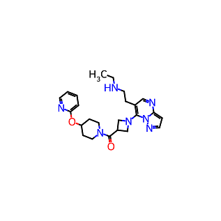 CCNCCc1cnc2ccnn2c1N1CC(C(=O)N2CCC(Oc3ccccn3)CC2)C1